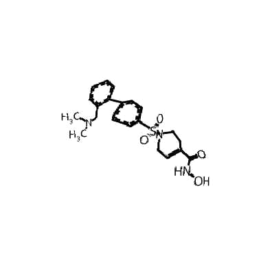 CN(C)Cc1ccccc1-c1ccc(S(=O)(=O)N2CC=C(C(=O)NO)CC2)cc1